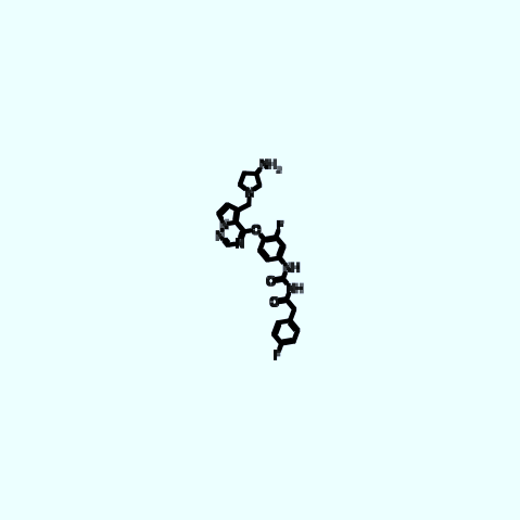 NC1CCN(Cc2ccn3ncnc(Oc4ccc(NC(=O)NC(=O)Cc5ccc(F)cc5)cc4F)c23)C1